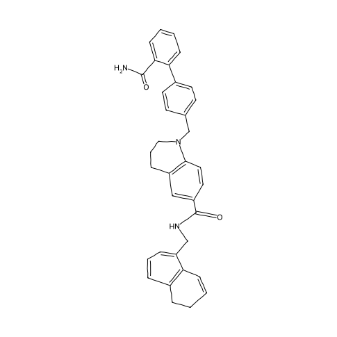 NC(=O)c1ccccc1-c1ccc(CN2CCCc3cc(C(=O)NCc4cccc5c4C=CCC5)ccc32)cc1